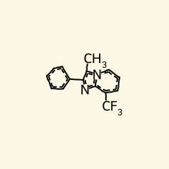 Cc1c(-c2ccccc2)nc2c(C(F)(F)F)cccn12